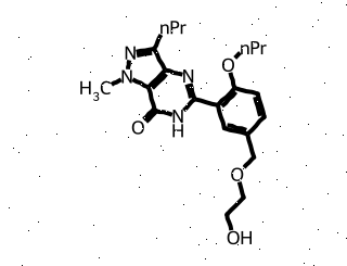 CCCOc1ccc(COCCO)cc1-c1nc2c(CCC)nn(C)c2c(=O)[nH]1